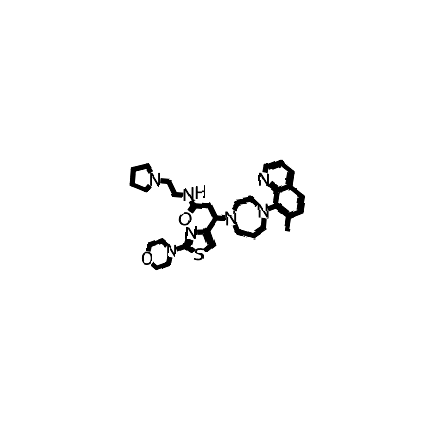 Cc1ccc2cccnc2c1N1CCCN(C(CC(=O)NCCN2CCCC2)c2csc(N3CCOCC3)n2)CC1